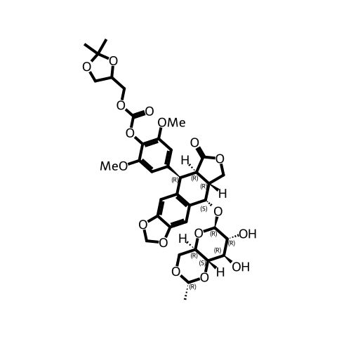 COc1cc([C@@H]2c3cc4c(cc3[C@@H](O[C@@H]3O[C@@H]5CO[C@@H](C)O[C@H]5[C@H](O)[C@H]3O)[C@H]3COC(=O)[C@H]23)OCO4)cc(OC)c1OC(=O)OCC1COC(C)(C)O1